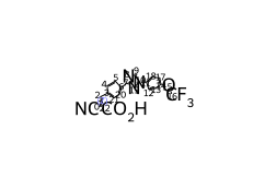 N#C/C(=C/c1ccc(-c2ncn(-c3ccc(OC(F)(F)F)cc3)n2)cc1)C(=O)O